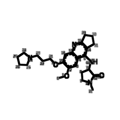 COc1cc2c(NC3CCN(C)C3=O)c3c(nc2cc1OCCCN1CCCC1)CCC3